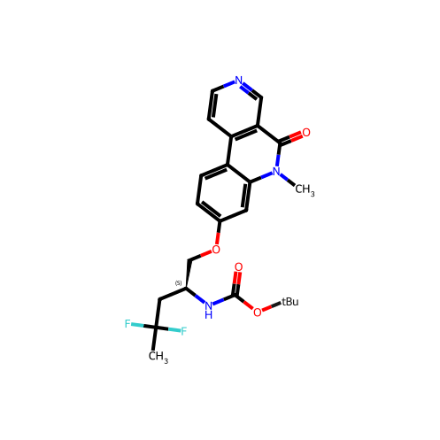 Cn1c(=O)c2cnccc2c2ccc(OC[C@H](CC(C)(F)F)NC(=O)OC(C)(C)C)cc21